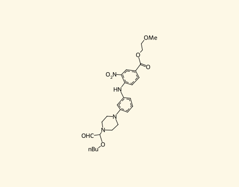 CCCCOC(C=O)N1CCN(c2cccc(Nc3ccc(C(=O)OCCOC)cc3[N+](=O)[O-])c2)CC1